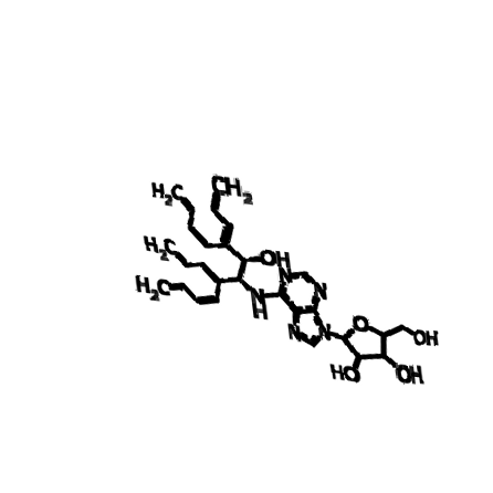 C=C/C=C\C(=C/C=C)[C@@H](O)[C@@H](Nc1ncnc2c1ncn2C1OC(CO)C(O)C1O)C(/C=C\C=C)=C/C=C